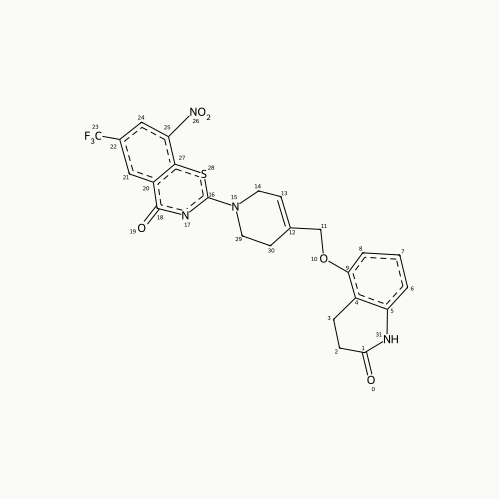 O=C1CCc2c(cccc2OCC2=CCN(c3nc(=O)c4cc(C(F)(F)F)cc([N+](=O)[O-])c4s3)CC2)N1